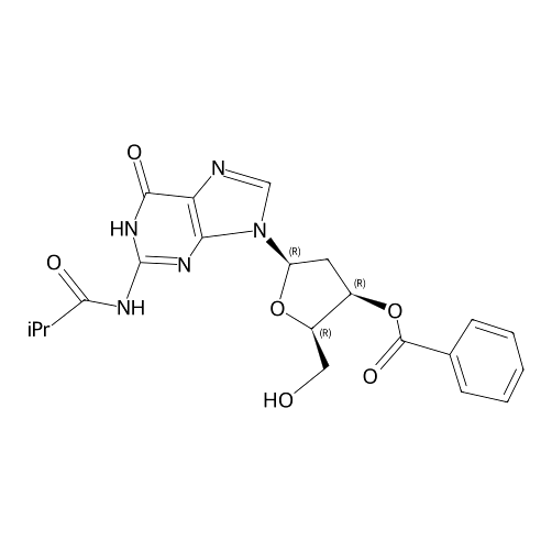 CC(C)C(=O)Nc1nc2c(ncn2[C@H]2C[C@@H](OC(=O)c3ccccc3)[C@@H](CO)O2)c(=O)[nH]1